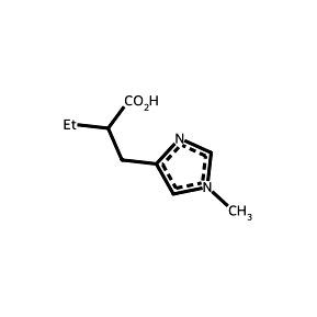 CCC(Cc1cn(C)cn1)C(=O)O